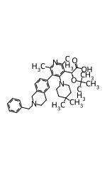 Cc1nc(C)c([C@H](OC(C)(C)C)C(=O)O)c(N2CCC(C)(C)CC2)c1-c1ccc2c(c1)CCN(Cc1ccccc1)C2